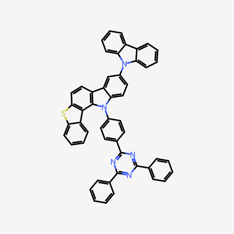 c1ccc(-c2nc(-c3ccccc3)nc(-c3ccc(-n4c5ccc(-n6c7ccccc7c7ccccc76)cc5c5ccc6sc7ccccc7c6c54)cc3)n2)cc1